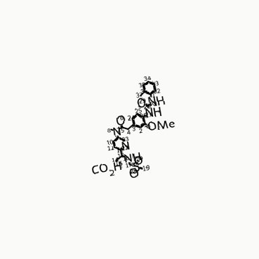 COc1cc(CC(=O)N(C)c2ccc(C(CC(=O)O)NCS(C)(=O)=O)nc2)ccc1NC(=O)Nc1ccccc1C